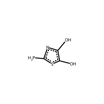 Oc1nc(P)sc1O